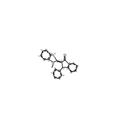 CN1/C(=C2/C(=O)c3ccccc3C2c2ccccc2)Sc2ccccc21